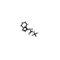 CC(C)(C)OC(=O)Nc1cnn2c1CCCC2